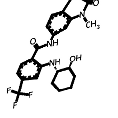 CN1C(=O)CCc2ccc(NC(=O)c3ccc(C(F)(F)F)cc3N[C@H]3CCCC[C@@H]3O)cc21